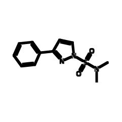 CN(C)S(=O)(=O)n1ccc(-c2ccccc2)n1